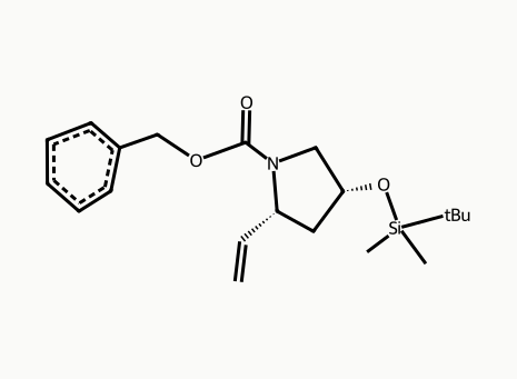 C=C[C@H]1C[C@@H](O[Si](C)(C)C(C)(C)C)CN1C(=O)OCc1ccccc1